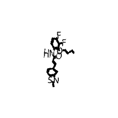 CCCCOc1c(NC(=O)/C=C/c2ccc3sc(C)nc3c2)ccc(F)c1F